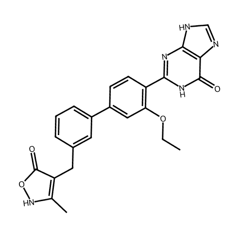 CCOc1cc(-c2cccc(Cc3c(C)[nH]oc3=O)c2)ccc1-c1nc2[nH]cnc2c(=O)[nH]1